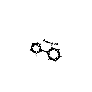 CCCCCCl.c1ccc(-c2ncc[se]2)cc1